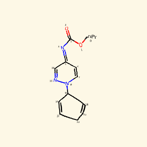 CCCOC(=O)N=c1ccn(C2C=CCC=C2)nc1